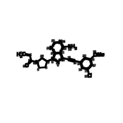 C=CC(=O)N1CCC(n2nc(C#Cc3cc(Cl)cc(OC)c3)c3c(N)ncnc32)C1